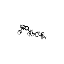 CC(C)C(=O)N1CC[C@@H](c2noc(-c3ccc4cnn(C5COC5)c4c3)n2)C[C@@H]1C